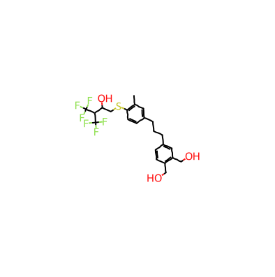 Cc1cc(CCCc2ccc(CO)c(CO)c2)ccc1SCC(O)C(C(F)(F)F)C(F)(F)F